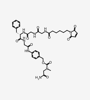 CN(CC(N)=O)C(=O)OCc1ccc(NC(=O)CNC(=O)[C@H](Cc2ccccc2)NC(=O)CNC(=O)CNC(=O)CCCCCN2C(=O)C=CC2=O)cc1